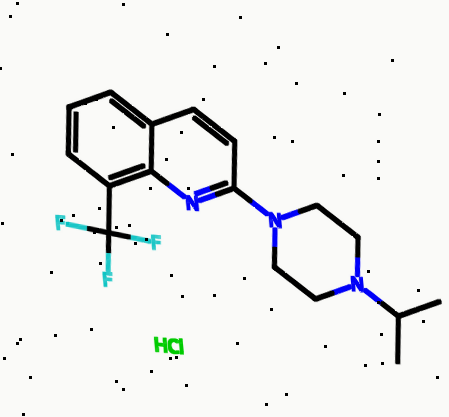 CC(C)N1CCN(c2ccc3cccc(C(F)(F)F)c3n2)CC1.Cl